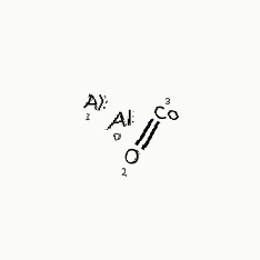 [Al].[Al].[O]=[Co]